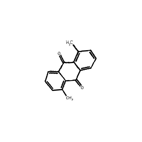 Cc1cccc2c1C(=O)c1cccc(C)c1C2=O